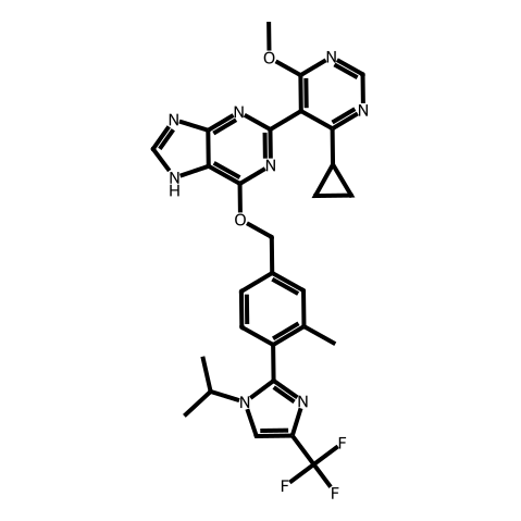 COc1ncnc(C2CC2)c1-c1nc(OCc2ccc(-c3nc(C(F)(F)F)cn3C(C)C)c(C)c2)c2[nH]cnc2n1